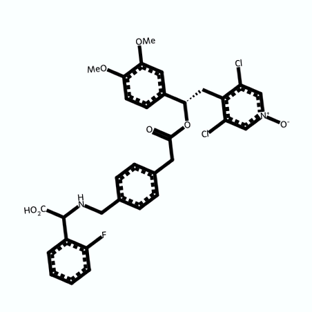 COc1ccc([C@H](Cc2c(Cl)c[n+]([O-])cc2Cl)OC(=O)Cc2ccc(CNC(C(=O)O)c3ccccc3F)cc2)cc1OC